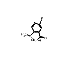 CN(C)c1ccc(F)cc1C(=O)O